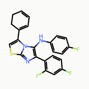 Fc1ccc(Nc2c(-c3ccc(F)cc3F)nc3scc(C4=CC=CCC4)n23)cc1